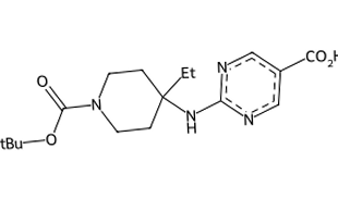 CCC1(Nc2ncc(C(=O)O)cn2)CCN(C(=O)OC(C)(C)C)CC1